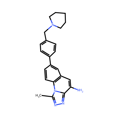 Cc1nnc2c(N)cc3cc(-c4ccc(CN5CCCCC5)cc4)ccc3n12